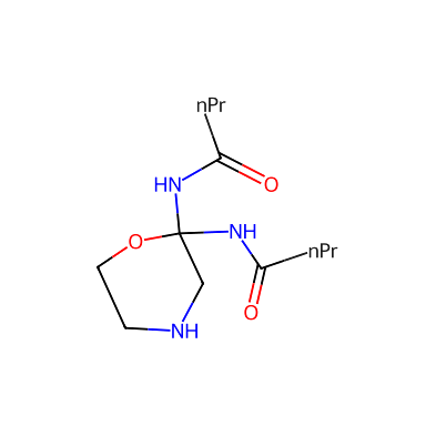 CCCC(=O)NC1(NC(=O)CCC)CNCCO1